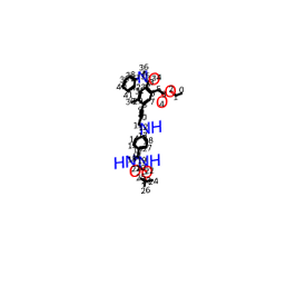 CCOC(=O)Cc1cc(C#CCNc2ccc(C(=N)NC(=O)OC(C)(C)C)cc2)c(C)cc1C(=O)N(C)c1ccccc1